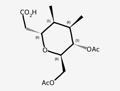 CC(=O)OC[C@H]1O[C@H](CC(=O)O)[C@@H](C)[C@@H](C)[C@@H]1OC(C)=O